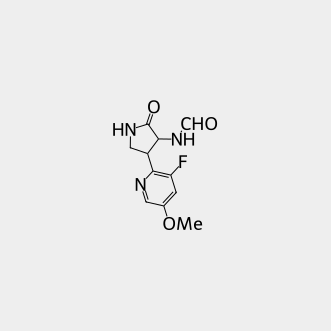 COc1cnc(C2CNC(=O)C2NC=O)c(F)c1